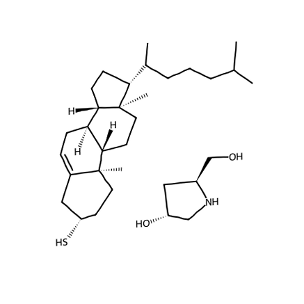 CC(C)CCCC(C)[C@H]1CC[C@H]2[C@@H]3CC=C4C[C@@H](S)CC[C@]4(C)[C@H]3CC[C@]12C.OC[C@@H]1C[C@@H](O)CN1